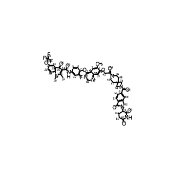 COc1cc2c(Oc3ccc(NC(=O)c4c(C)n(C)c5ccc(OC(F)(F)F)cc5c4=O)cc3F)ncnc2cc1OCC(=O)N1CCC2(CC1)CN(C(=O)c1ccc3c(c1)CN(C1CCC(=O)NC1=O)C3=O)C2